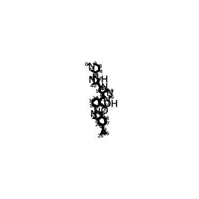 CN1CCC[C@@H](n2cc(-c3cc4c(-c5cccc(-n6ncc7cc(C8CC8)ccc7c6=O)c5CO)ncnc4[nH]3)cn2)C1